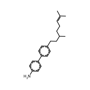 CC(C)=CCCC(C)CCc1ccc(-c2ccc(N)cc2)cc1